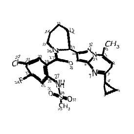 Cc1cc(C2CC2)nc2cc(C3CCCCN3C(=O)c3cc(Cl)c(F)cc3NS(C)(=O)=O)nn12